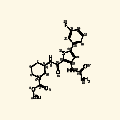 CC(C)(C)OC(=O)N1CCC[C@@H](NC(=O)c2sc(-c3cccc(F)c3)cc2NC(N)=O)C1